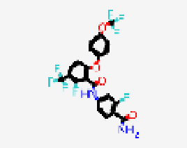 NC(=O)c1ccc(NC(=O)c2c(Oc3ccc(OC(F)(F)F)cc3)ccc(C(F)(F)F)c2F)cc1F